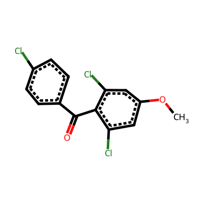 COc1cc(Cl)c(C(=O)c2ccc(Cl)cc2)c(Cl)c1